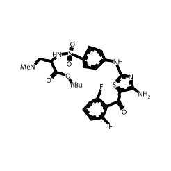 CCCCOC(=O)C(CNC)NS(=O)(=O)c1ccc(Nc2nc(N)c(C(=O)c3c(F)cccc3F)s2)cc1